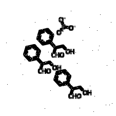 O=[C+]C(CO)c1ccccc1.O=[C+]C(CO)c1ccccc1.O=[C+]C(CO)c1ccccc1.[O-]B([O-])[O-]